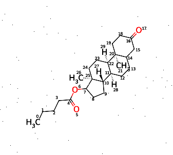 CCCCC(=O)OC1CC[C@H]2[C@@H]3CCC4CC(=O)CC[C@]4(C)[C@@H]3CC[C@]12C